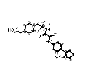 COc1cc(NC(=O)C(=O)NC(C)(C)CN2CCN(CC(=O)O)CC2)ccc1-c1cnco1